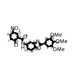 COc1cc(-c2nc3cc(NC(=O)c4cc([N+](=O)[O-])ccc4Cl)ccc3o2)cc(OC)c1OC